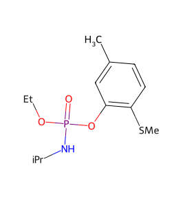 CCOP(=O)(NC(C)C)Oc1cc(C)ccc1SC